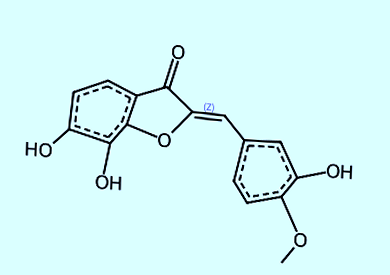 COc1ccc(/C=C2\Oc3c(ccc(O)c3O)C2=O)cc1O